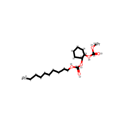 CC(C)CCCCCCCCCOC(=O)OC1CCCCC1OC(=O)OC(C)C